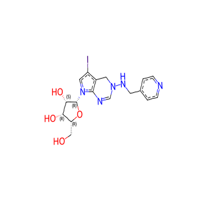 OC[C@H]1O[C@@H](n2cc(I)c3c2N=CN(NCc2ccncc2)C3)[C@@H](O)[C@H]1O